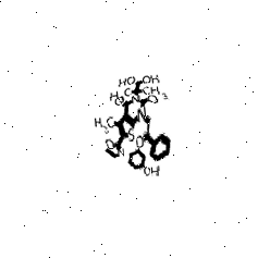 Cc1c(-c2ncco2)sc2c1c(=O)n(C(C)(C)C(O)O)c(=O)n2C[C@H](O[C@H]1CCC[C@@H](O)C1)c1ccccc1